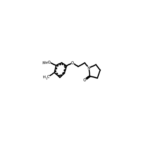 COc1cc(OCCN2CCCC2=O)ccc1C